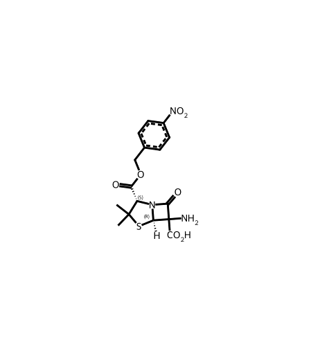 CC1(C)S[C@H]2N(C(=O)C2(N)C(=O)O)[C@H]1C(=O)OCc1ccc([N+](=O)[O-])cc1